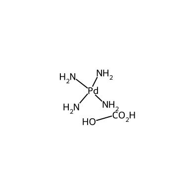 O=C(O)O.[NH2][Pd]([NH2])([NH2])[NH2]